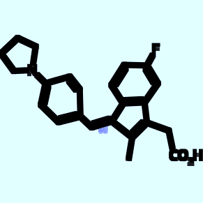 CC1=C(CC(=O)O)c2cc(F)ccc2/C1=C\c1ccc(N2CCCC2)cc1